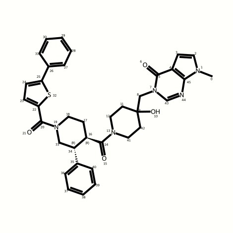 Cn1ccc2c(=O)n(CC3(O)CCN(C(=O)[C@@H]4CCN(C(=O)c5ccc(-c6ccccc6)s5)C[C@H]4c4ccccc4)CC3)cnc21